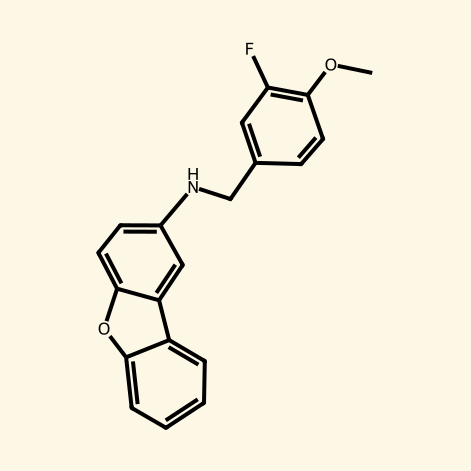 COc1ccc(CNc2ccc3oc4ccccc4c3c2)cc1F